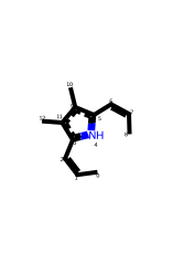 C/C=C\c1[nH]c(/C=C\C)c(C)c1C